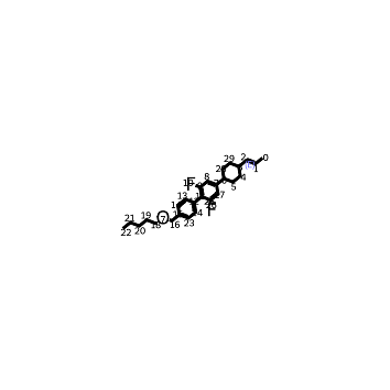 C/C=C/C1CCC(c2cc(F)c(-c3ccc(COCCCCC)cc3)c(F)c2)CC1